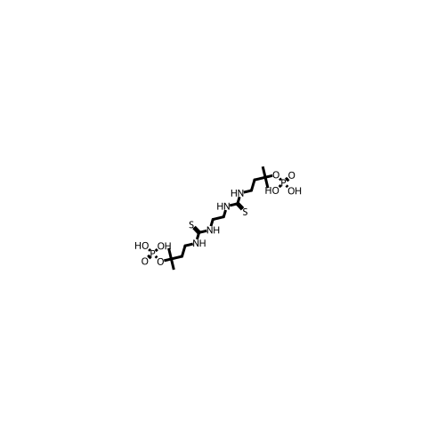 CC(C)(CCNC(=S)NCCNC(=S)NCCC(C)(C)OP(=O)(O)O)OP(=O)(O)O